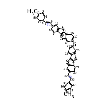 Cc1ccc(/C=C/c2ccc3c(c2)sc2c4ccc(Sc5ccc6c(c5)sc5c7ccc(/C=C/c8ccc(C)cc8)cc7sc65)cc4sc32)cc1